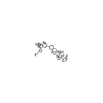 O=C(Cc1ccc(-c2cnc3[nH]nc(OCCF)c3c2)cc1F)Nc1cc(C2(C(F)(F)F)CC2)on1